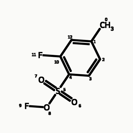 Cc1ccc(S(=O)(=O)OF)c(F)c1